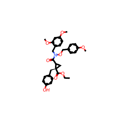 CCOC(=O)[C@@]1(Cc2ccc(O)cc2)CC1C(=O)N(Cc1ccc(OC)cc1OC)OCc1ccc(OC)cc1